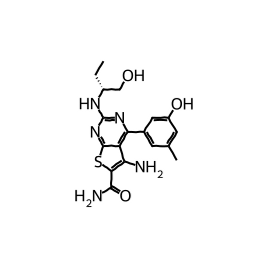 CC[C@H](CO)Nc1nc(-c2cc(C)cc(O)c2)c2c(N)c(C(N)=O)sc2n1